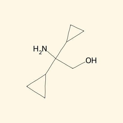 NC(CO)(C1CC1)C1CC1